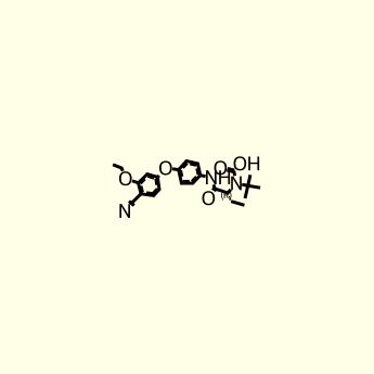 CCOc1cc(Oc2ccc(NC(=O)[C@@H](CC)N(C(=O)O)C(C)(C)C)cc2)ccc1C#N